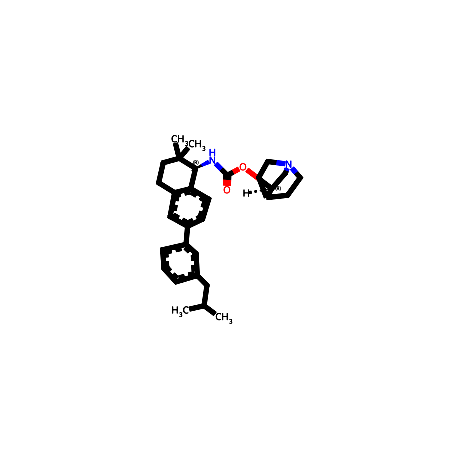 CC(C)Cc1cccc(-c2ccc3c(c2)CCC(C)(C)[C@H]3NC(=O)O[C@H]2CN3CCC2CC3)c1